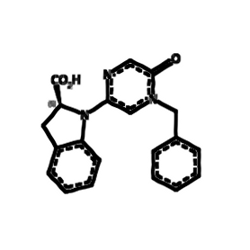 O=C(O)[C@@H]1Cc2ccccc2N1c1cn(Cc2ccccc2)c(=O)cn1